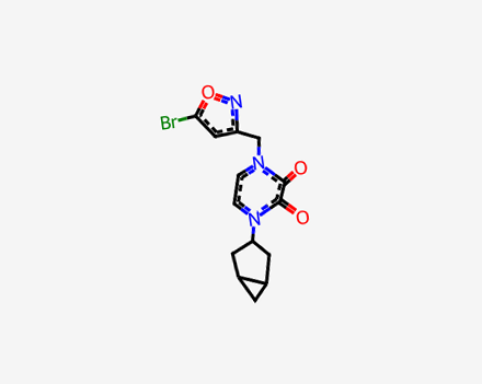 O=c1c(=O)n(C2CC3CC3C2)ccn1Cc1cc(Br)on1